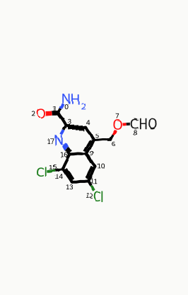 NC(=O)c1cc(COC=O)c2cc(Cl)cc(Cl)c2n1